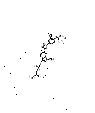 CC(C)COC(=O)CCc1cn(C)c2cc(-c3noc(-c4ccc(OC(C)C)c(Cl)c4)n3)ccc12